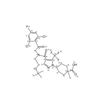 CC(C)(C)OCCN(CC(=O)c1c(Cl)cc(F)cc1Cl)C(=O)c1cnn(C2CCC(C)(C(=O)O)CC2)c1C(F)(F)F